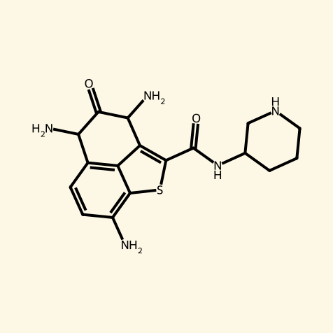 Nc1ccc2c3c(c(C(=O)NC4CCCNC4)sc13)C(N)C(=O)C2N